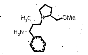 COC[C@@H]1CCCN1C[C@@H](C)[C@@H](N)c1ccccc1